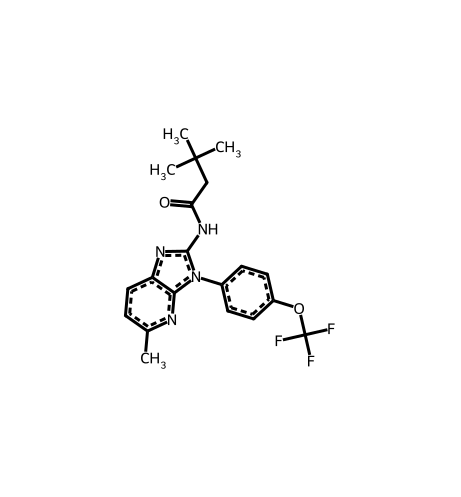 Cc1ccc2nc(NC(=O)CC(C)(C)C)n(-c3ccc(OC(F)(F)F)cc3)c2n1